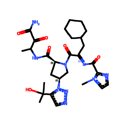 CC(NC(=O)[C@@H]1C[C@H](n2nncc2C(C)(C)O)CN1C(=O)/C(CC1CCCCC1)=N/C(=O)c1nccn1C)C(=O)C(N)=O